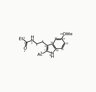 CCC(=O)NCCc1c(C(C)=O)[nH]c2ccc(OC)cc12